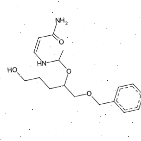 CC(N/C=C\C(N)=O)OC(CCCO)COCc1ccccc1